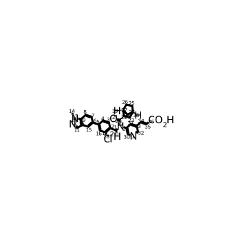 [2H]C(c1ccc(-c2ccc3c(cnn3C)c2)cc1Cl)N(C(=O)[C@@H]1C[C@@H]2CC[C@H]1C2)c1cncc(/C=C/C(=O)O)c1